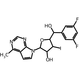 Cc1ncnc2c1ccn2C1OC(C(O)c2cc(F)cc(F)c2)C(I)C1O